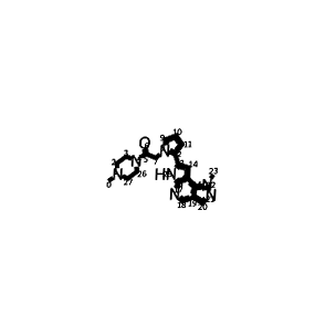 CN1CCN(C(=O)Cn2cccc2-c2cc3c(ncc4cnn(C)c43)[nH]2)CC1